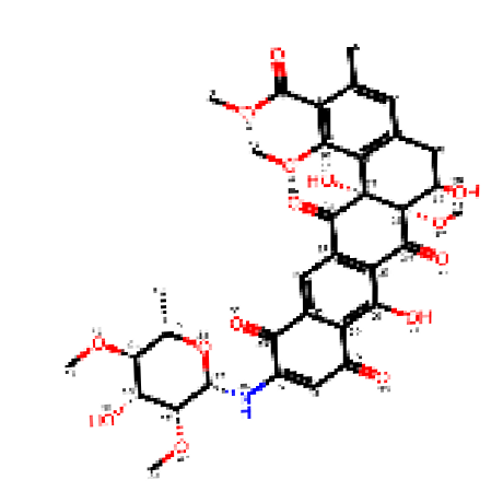 COC(=O)c1c(C)cc2c(c1OC)[C@]1(O)C(=O)c3cc4c(c(O)c3C(=O)[C@]1(OC)[C@H](O)C2)C(=O)C=C(N[C@H]1O[C@@H](C)[C@H](OC)[C@@H](O)[C@H]1OC)C4=O